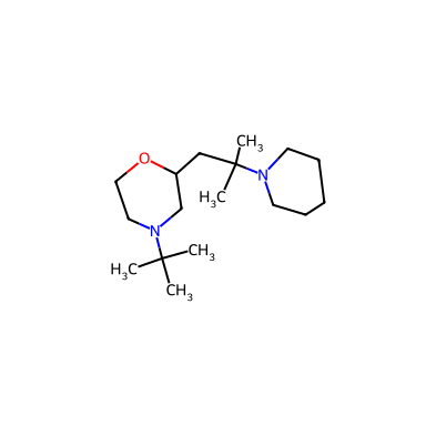 CC(C)(C)N1CCOC(CC(C)(C)N2CCCCC2)C1